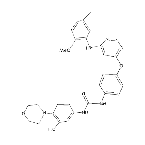 COc1ccc(C)cc1Nc1cc(Oc2ccc(NC(=O)Nc3ccc(N4CCOCC4)c(C(F)(F)F)c3)cc2)ncn1